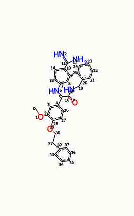 COc1cc(C(Nc2ccc(C(=N)N)cc2)C(=O)NCc2ccccc2)ccc1OCCc1ccccc1